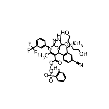 COC(=O)C1=C(C)N(c2cccc(C(F)(F)F)c2)c2n[nH]c(=O)n2C1c1ccc(C#N)cc1C[N+](C)(CCO)CCO.O=S(=O)([O-])c1ccccc1